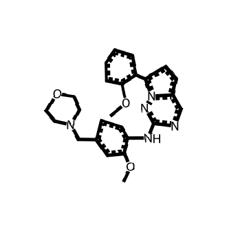 COc1cc(CN2CCOCC2)ccc1Nc1ncc2ccc(-c3ccccc3OC)n2n1